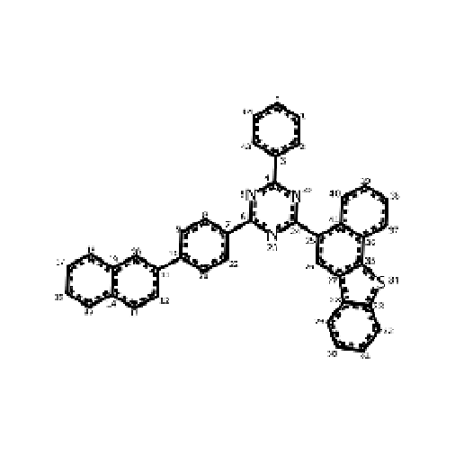 c1ccc(-c2nc(-c3ccc(-c4ccc5ccccc5c4)cc3)nc(-c3cc4c5ccccc5sc4c4ccccc34)n2)cc1